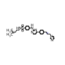 CN(C)CCCNS(=O)(=O)c1ccc(Nc2nccc(-c3ccc(/C=C/Cn4ccnc4)cc3)n2)cc1